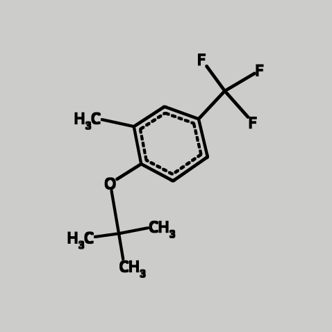 Cc1cc(C(F)(F)F)ccc1OC(C)(C)C